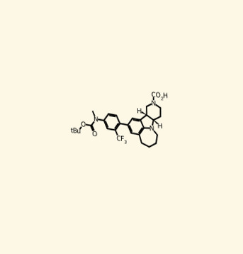 CN(C(=O)OC(C)(C)C)c1ccc(-c2cc3c4c(c2)[C@@H]2CN(C(=O)O)CC[C@@H]2N4CCCC3)c(C(F)(F)F)c1